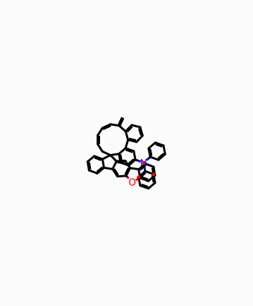 C=C1/C=C\C=C/CC2(c3ccc(N(c4ccccc4)c4ccccc4)cc3-c3ccccc31)c1ccccc1-c1cc3oc4ccccc4c3cc12